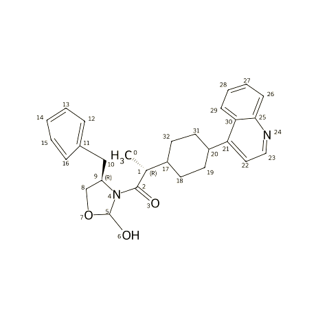 C[C@@H](C(=O)N1C(O)OC[C@H]1Cc1ccccc1)C1CCC(c2ccnc3ccccc23)CC1